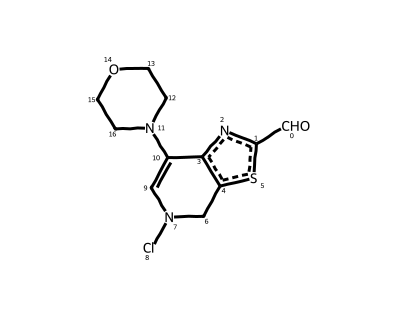 O=Cc1nc2c(s1)CN(Cl)C=C2N1CCOCC1